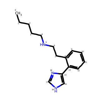 CCCCCNCCc1ccccc1-c1c[nH]cn1